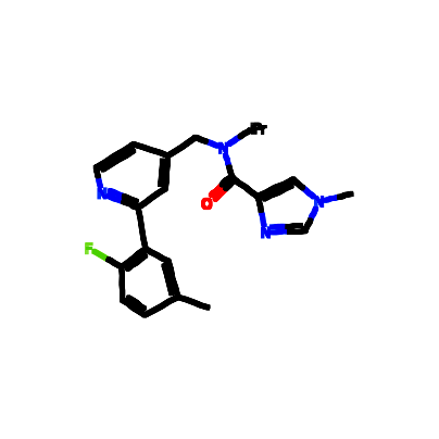 Cc1ccc(F)c(-c2cc(CN(C(=O)c3cn(C)cn3)C(C)C)ccn2)c1